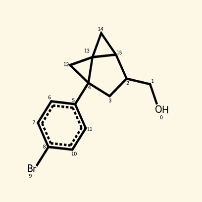 OCC1CC2(c3ccc(Br)cc3)CC23CC13